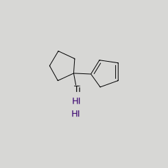 I.I.[Ti][C]1(C2=CC=CC2)CCCC1